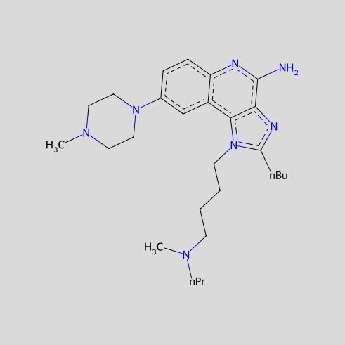 CCCCc1nc2c(N)nc3ccc(N4CCN(C)CC4)cc3c2n1CCCCN(C)CCC